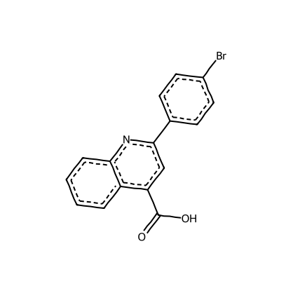 O=C(O)c1cc(-c2ccc(Br)cc2)nc2ccccc12